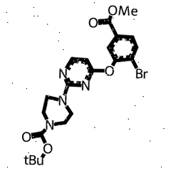 COC(=O)c1ccc(Br)c(Oc2ccnc(N3CCN(C(=O)OC(C)(C)C)CC3)n2)c1